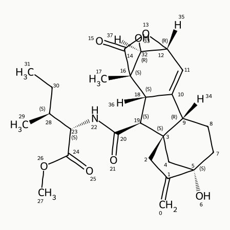 C=C1C[C@]23C[C@@]1(O)CC[C@H]2C1=C[C@H]2OC(=O)[C@@](C)([C@H]1[C@@H]3C(=O)N[C@H](C(=O)OC)[C@@H](C)CC)[C@H]2O